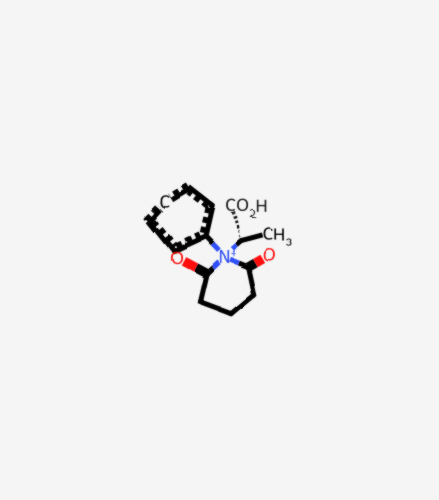 C[C@@H](C(=O)O)[N+]1(c2ccccc2)C(=O)CCCC1=O